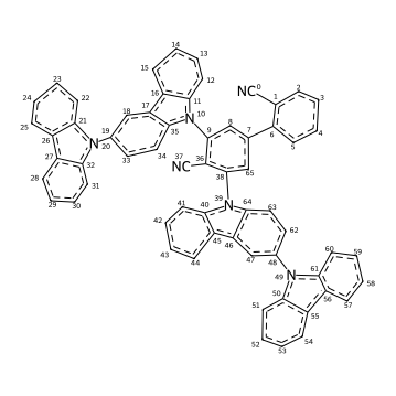 N#Cc1ccccc1-c1cc(-n2c3ccccc3c3cc(-n4c5ccccc5c5ccccc54)ccc32)c(C#N)c(-n2c3ccccc3c3cc(-n4c5ccccc5c5ccccc54)ccc32)c1